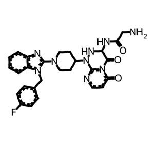 NCC(=O)NC1NN(C2CCN(c3nc4ccccc4n3Cc3ccc(F)cc3)CC2)c2nccc(=O)n2C1=O